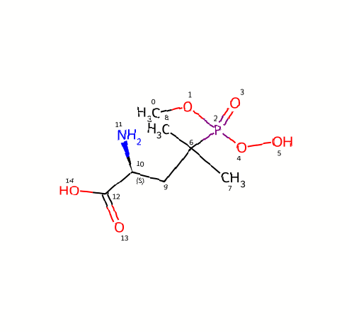 COP(=O)(OO)C(C)(C)C[C@H](N)C(=O)O